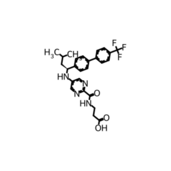 CC(C)C[C@H](Nc1cnc(C(=O)NCCC(=O)O)nc1)c1ccc(-c2ccc(C(F)(F)F)cc2)cc1